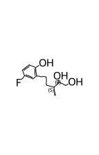 C[C@@H](CCc1cc(F)ccc1O)[C@@H](O)CO